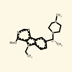 COc1ncnc2c3cc([C@@H](C)N4CCN(C)CC4)ccc3n(CC(F)(F)F)c12